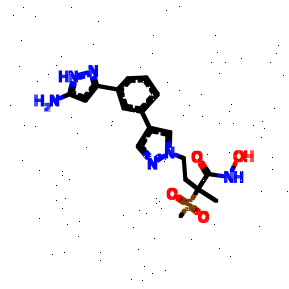 CC(CCn1cc(-c2cccc(-c3cc(N)[nH]n3)c2)cn1)(C(=O)NO)S(C)(=O)=O